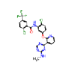 CNc1ncnc(-c2cccnc2Oc2ccc(Cl)c(NC(=O)c3cc(C(F)(F)F)ccc3Cl)c2)n1